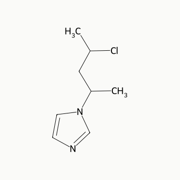 CC(Cl)CC(C)n1ccnc1